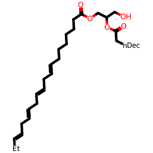 CCC=CCC=CCC=CCC=CCCCCCCC(=O)OCC(CO)OC(=O)CCCCCCCCCCC